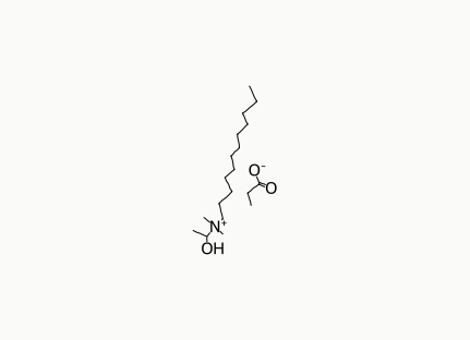 CCC(=O)[O-].CCCCCCCCCCCC[N+](C)(C)C(C)O